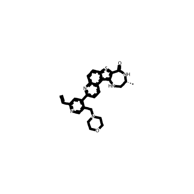 C=Cc1cc(-c2ccc3c(ccc4sc5c(c43)NC[C@@H](C)NC5=O)n2)c(CN2CCOCC2)cn1